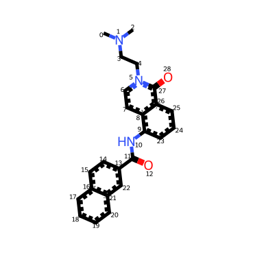 CN(C)CCn1ccc2c(NC(=O)c3ccc4ccccc4c3)cccc2c1=O